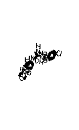 O=C(Nc1ccc(S(=O)(=O)N2CCOCC2)cc1)c1c[nH]nc1NS(=O)(=O)c1ccc(Cl)cc1